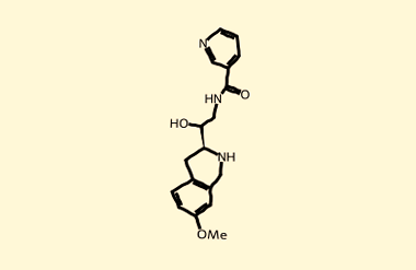 COc1ccc2c(c1)CN[C@H](C(O)CNC(=O)c1cccnc1)C2